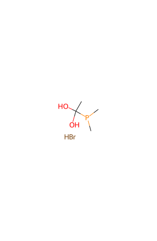 Br.CP(C)C(C)(O)O